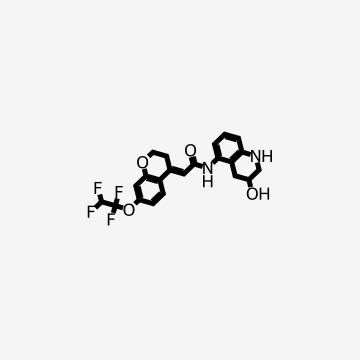 O=C(C=C1CCOc2cc(OC(F)(F)C(F)F)ccc21)Nc1cccc2c1CC(O)CN2